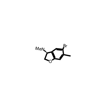 CN[C@@H]1COc2cc(C)c(Br)cc21